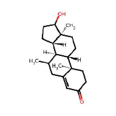 CC1CC2=CC(=O)CC[C@]2(C)[C@H]2CC[C@]3(C)C(O)CC[C@H]3[C@H]12